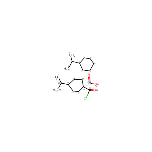 CC(C)C1CCCCC1.CC(C)[C@H]1CC[C@@](C(=O)O)(C(=O)Cl)CC1